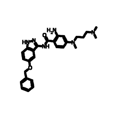 CN(C)CCCN(C)c1ccc(C(=O)Nc2n[nH]c3ccc(OCc4ccccc4)cc23)c(N)c1